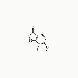 COc1ccc2c(c1I)OCC2=O